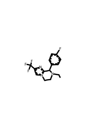 CCN1CCn2cc(C(F)(F)F)nc2C1c1ccc(F)cc1